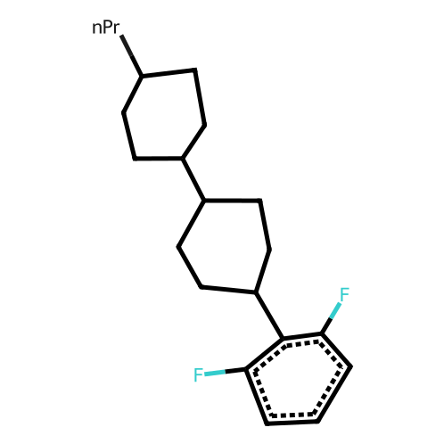 CCCC1CCC(C2CCC(c3c(F)cccc3F)CC2)CC1